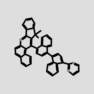 CC1(C)c2ccccc2-c2nc3ccc4ccccc4c3c(-c3ccc(-c4ccc(-c5ncccn5)c5ccccc45)c4ccccc34)c21